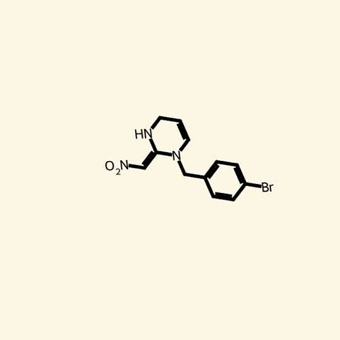 O=[N+]([O-])C=C1NCC=CN1Cc1ccc(Br)cc1